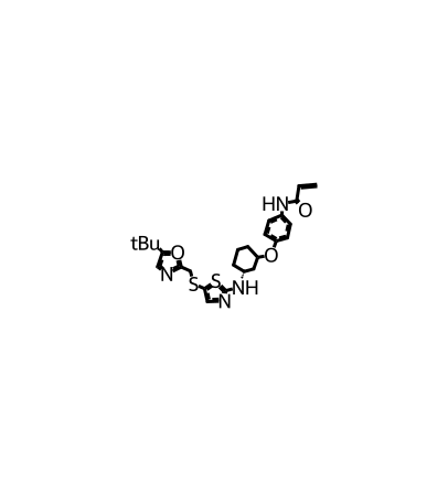 C=CC(=O)Nc1ccc(OC2CCC[C@@H](Nc3ncc(SCc4ncc(C(C)(C)C)o4)s3)C2)cc1